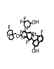 CCc1c(F)ccc2cc(O)cc(-c3ncc4c(N5CC(O)CC(F)(F)C5)nc(OCC56CCCN5C[C@H](F)C6)nc4c3F)c12